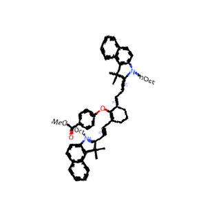 CCCCCCCCN1/C(=C/C=C2\CCCC(/C=C/C3=[N+](CCCCCCCC)c4ccc5ccccc5c4C3(C)C)=C2Oc2ccc(C(=O)OC)cc2)C(C)(C)c2c1ccc1ccccc21